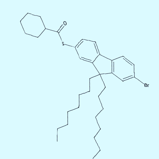 CCCCCCCCC1(CCCCCCCC)c2cc(Br)ccc2-c2ccc(SC(=O)C3CCCCC3)cc21